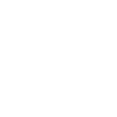 O=COCCCS(=O)(=O)N1CCCSC1=C[N+](=O)[O-]